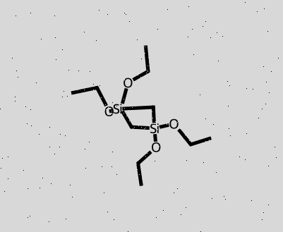 CCO[Si]1(OCC)C[Si](OCC)(OCC)C1